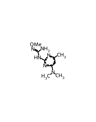 CO/N=C(\N)Nc1nc(C)cc(N(C)C)n1